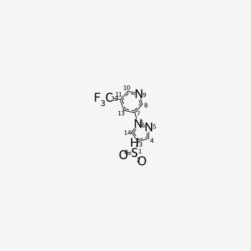 O=[SH](=O)c1cnn(-c2cncc(C(F)(F)F)c2)c1